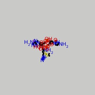 CC(C)SSC(CN=[N+]=[N-])C[C@H](N)C(=O)O[C@@H]1C(COP(=O)(O)O[C@H]2CC(n3ccc(N)nc3=O)O[C@@H]2COP(=O)(O)O)O[C@@H](N2C=NC3(I)C(N)=NC=NC23)[C@@H]1O